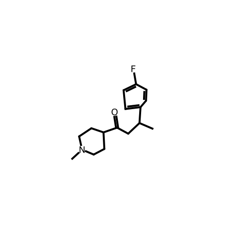 CC(CC(=O)C1CCN(C)CC1)c1ccc(F)cc1